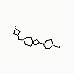 CCN1CCN(C2CC3(CCN(CC4CNC4)CC3)C2)CC1